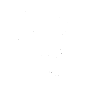 CN(CCN(CC(=O)NO)S(=O)(=O)c1cc(F)c(Oc2ccc(Cl)cc2)c(F)c1)S(=O)(=O)CCN1CCOCC1